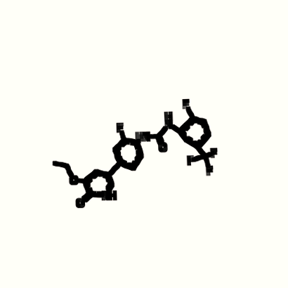 CCOc1cc(-c2ccc(NC(=O)Nc3cc(C(F)(F)F)ccc3F)c(F)c2)c[nH]c1=O